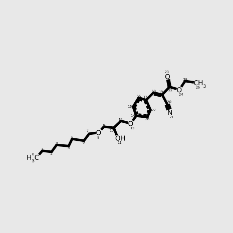 CCCCCCCCOCC(O)COc1ccc(/C=C(\C#N)C(=O)OCC)cc1